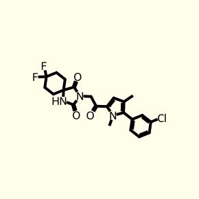 Cc1cc(C(=O)CN2C(=O)NC3(CCC(F)(F)CC3)C2=O)n(C)c1-c1cccc(Cl)c1